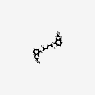 O=C(CCC(=O)Oc1cccc2nc(S)sc12)Oc1cccc2nc(S)sc12